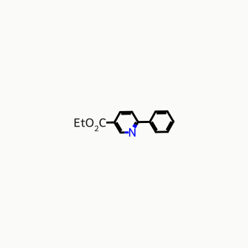 CCOC(=O)c1ccc(-c2ccccc2)nc1